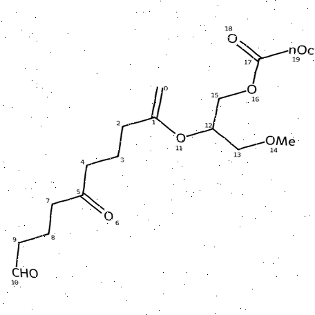 C=C(CCCC(=O)CCCC=O)OC(COC)COC(=O)CCCCCCCC